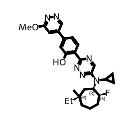 CC[C@]1(C)CCC[C@H](F)[C@H](N(c2cnc(-c3ccc(-c4cnnc(OC)c4)cc3O)nn2)C2CC2)C1